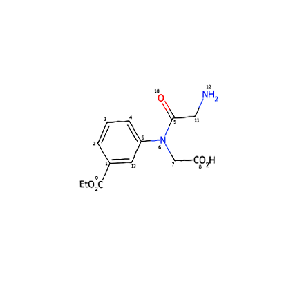 CCOC(=O)c1cccc(N(CC(=O)O)C(=O)CN)c1